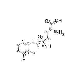 Cc1c(F)cccc1CCS(=N)(=O)CC[C@H](N)C(=O)O